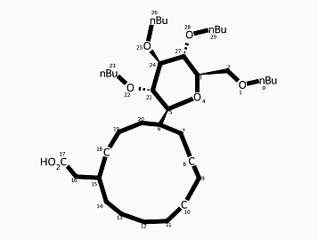 CCCCOC[C@H]1O[C@@H](C2CCCCCCCCC(CC(=O)O)CCC2)[C@H](OCCCC)[C@@H](OCCCC)[C@@H]1OCCCC